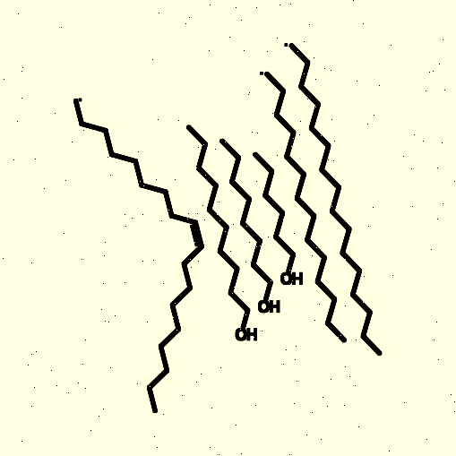 CCCCCCCCCCO.CCCCCCCCO.CCCCCCO.[CH2]CCCCCCC/C=C\CCCCCCCC.[CH2]CCCCCCCCCCCCC.[CH2]CCCCCCCCCCCCCCC